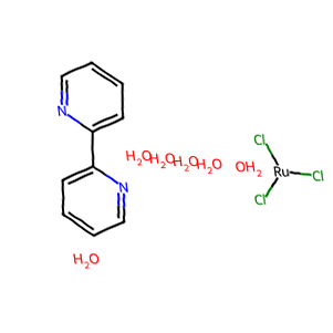 O.O.O.O.O.O.[Cl][Ru]([Cl])[Cl].c1ccc(-c2ccccn2)nc1